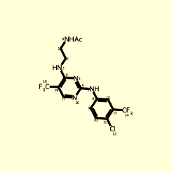 CC(=O)NCCNc1nc(Nc2ccc(Cl)c(C(F)(F)F)c2)ncc1C(F)(F)F